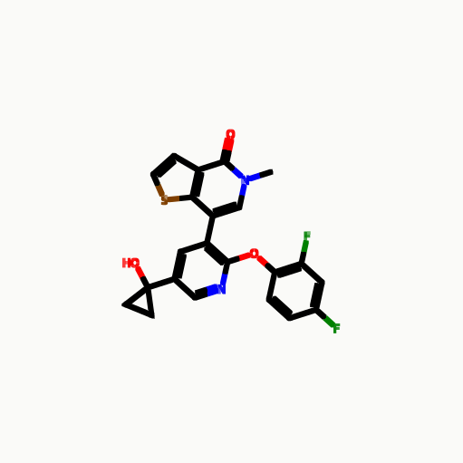 Cn1cc(-c2cc(C3(O)CC3)cnc2Oc2ccc(F)cc2F)c2sccc2c1=O